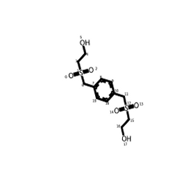 O=S(=O)(CCO)Cc1ccc(CS(=O)(=O)CCO)cc1